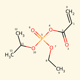 C=CC(=O)OP(=O)(OCC)OC(C)C